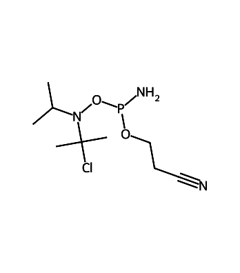 CC(C)N(OP(N)OCCC#N)C(C)(C)Cl